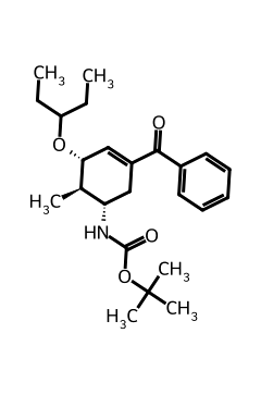 CCC(CC)O[C@@H]1C=C(C(=O)c2ccccc2)C[C@H](NC(=O)OC(C)(C)C)[C@H]1C